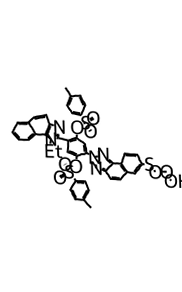 CCn1c(-c2cc(OS(=O)(=O)c3ccc(C)cc3)c(-n3nc4ccc5cc(SOOO)ccc5c4n3)cc2OS(=O)(=O)c2ccc(C)cc2)nc2ccc3ccccc3c21